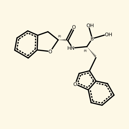 O=C(N[C@@H](Cc1coc2ccccc12)B(O)O)[C@H]1Cc2ccccc2O1